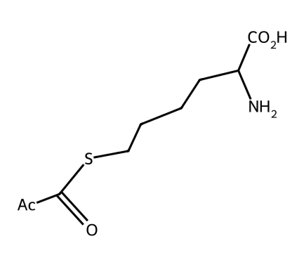 CC(=O)C(=O)SCCCCC(N)C(=O)O